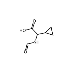 O=CNC(C(=O)O)C1CC1